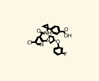 O=C(O)c1ccc(C2(NC(=O)c3cc(Cl)cnc3N3CC[C@H](Oc4cccc(F)c4)C3)CC2)cc1